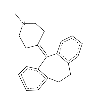 CN1CCC(=C2c3ccccc3CCc3ccccc32)CC1